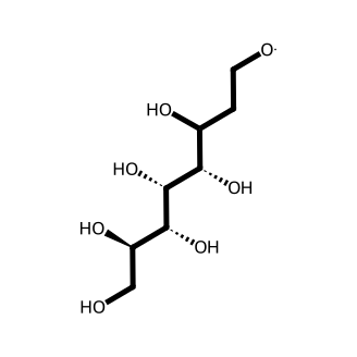 [O]CCC(O)[C@H](O)[C@@H](O)[C@H](O)[C@H](O)CO